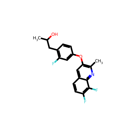 Cc1nc2c(F)c(F)ccc2cc1Oc1ccc(CC(C)O)c(F)c1